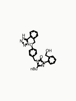 CCCCc1nn(-c2ccccc2CO)c(=O)n1Cc1ccc(OCc2ccccc2-c2nnn[nH]2)cc1